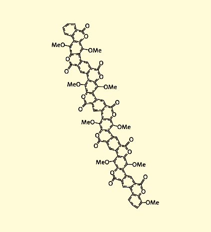 COc1cccc2c1oc(=O)c1cc3c(cc12)c(=O)oc1c(OC)c2c(oc(=O)c4cc5c(cc42)c(=O)oc2c(OC)c4c(oc(=O)c6cc7c(cc64)c(=O)oc4c(OC)c6c(oc(=O)c8cc9c(cc86)c(=O)oc6c(OC)c8c(oc(=O)c%10ccccc%108)c(OC)c69)c(OC)c47)c(OC)c25)c(OC)c13